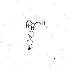 CC(C)C1CCC(N2CCC(n3cc(C=N)c4cccnc43)CC2)CC1